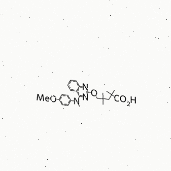 COc1ccc(N(C)c2nc(OCC(C)(C)CC(C)(C)C(=O)O)nc3ccccc23)cc1